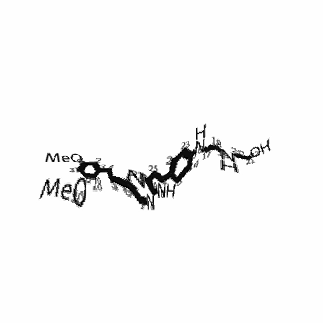 COc1cc(CCc2cnc3[nH]c(-c4ccc(NCCNCCO)cc4)cc3n2)cc(OC)c1